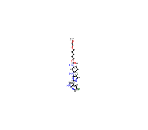 CCOCCOCCCCCOC(=O)N[C@@H]1CCC[C@H](Nc2nc(-c3c[nH]c4ncc(F)cc34)ncc2F)C1